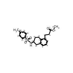 COC(=O)CCc1cccc2c1CCC(NS(=O)(=O)c1ccc(C)cc1)C2